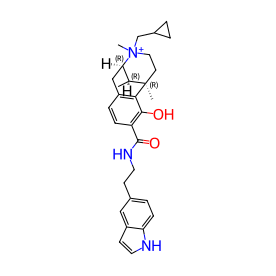 C[C@H]1[C@H]2Cc3ccc(C(=O)NCCc4ccc5[nH]ccc5c4)c(O)c3[C@]1(C)CC[N+]2(C)CC1CC1